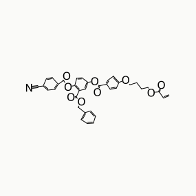 C=CC(=O)OCCCCOc1ccc(C(=O)Oc2ccc(OC(=O)c3ccc(C#N)cc3)c(C(=O)OCc3ccccc3)c2)cc1